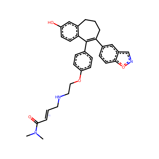 CN(C)C(=O)/C=C/CNCCOc1ccc(C2=C(c3ccc4oncc4c3)CCCc3cc(O)ccc32)cc1